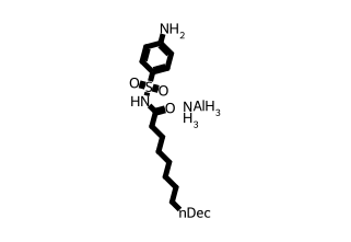 CCCCCCCCCCCCCCCCCC(=O)NS(=O)(=O)c1ccc(N)cc1.N.[AlH3]